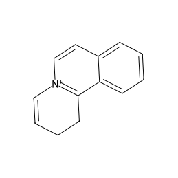 C1=C[n+]2ccc3ccccc3c2CC1